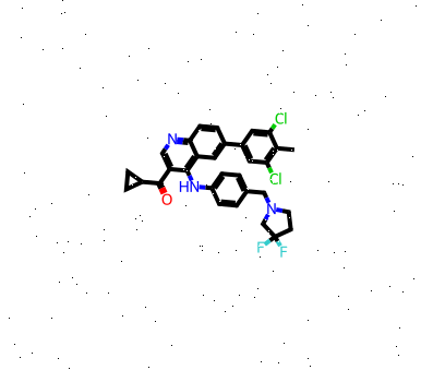 Cc1c(Cl)cc(-c2ccc3ncc(C(=O)C4CC4)c(Nc4ccc(CN5CCC(F)(F)C5)cc4)c3c2)cc1Cl